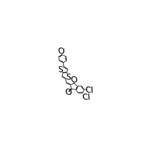 COc1ccc(-c2cc3sc(C=C4C(=O)c5cc(Cl)c(Cl)cc5C4=O)cc3s2)cc1